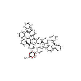 N#Cc1ccc(-c2ccc(-n3c4ccccc4c4c3ccc3c5ccccc5n(-c5ccccc5)c34)c(-c3cccc(-n4c5ccccc5c5c4ccc4c6ccccc6n(-c6ccccc6)c45)c3-c3nc(-c4ccccc4)nc(-c4ccccc4)n3)c2)cc1